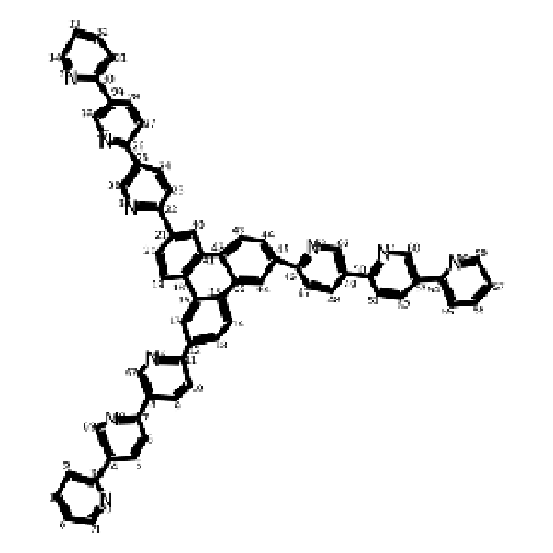 c1ccc(-c2ccc(-c3ccc(-c4ccc5c(c4)c4ccc(-c6ccc(-c7ccc(-c8ccccn8)cn7)cn6)cc4c4ccc(-c6ccc(-c7ccc(-c8ccccn8)cn7)cn6)cc54)nc3)nc2)nc1